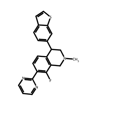 CN1Cc2c(ccc(-c3ncccn3)c2F)C(c2ccc3ccsc3c2)C1